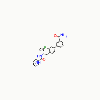 N#C[C@H](Cc1ccc(-c2cccc(C(N)=O)c2)cc1F)NC(=O)C12CCC(CC1)CN2